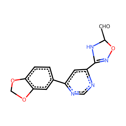 O=CC1NC(c2cc(-c3ccc4c(c3)OCO4)ncn2)=NO1